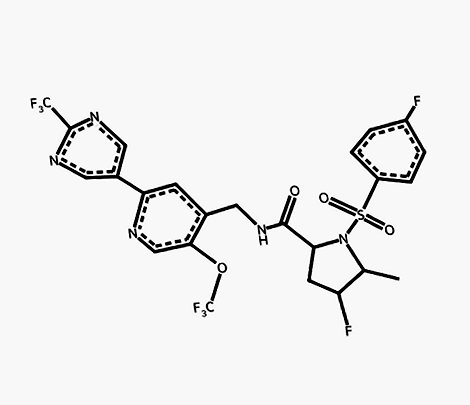 CC1C(F)CC(C(=O)NCc2cc(-c3cnc(C(F)(F)F)nc3)ncc2OC(F)(F)F)N1S(=O)(=O)c1ccc(F)cc1